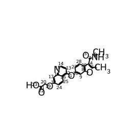 CNC(=O)c1c(C)oc2cc(Oc3ccnc4cc(OCC(=O)O)ccc34)ccc12